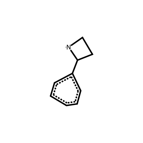 c1ccc(C2CC[N]2)cc1